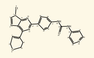 CCn1cnc2c(C3=CCOCC3)nc(-c3ccc(NC(=O)Nc4ccncc4)cc3)nc21